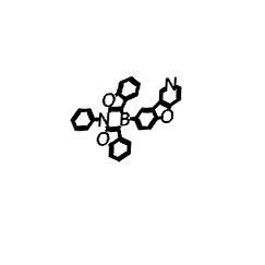 c1ccc(N2c3oc4ccccc4c3B(c3ccc4oc5ccncc5c4c3)c3c2oc2ccccc32)cc1